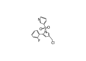 O=S(=O)(c1cccnc1)n1cc(CCl)cc1-c1ccccc1F